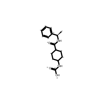 C[C@@H](NC(=O)C1CCC(NC(=O)O)CC1)c1ccccc1